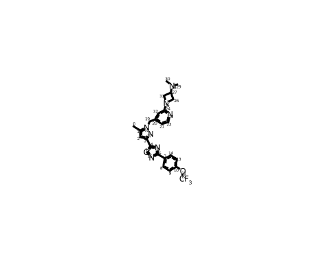 Cc1cc(-c2nc(-c3ccc(OC(F)(F)F)cc3)no2)nn1Cc1ccnc(N2CC(N(C)C)C2)c1